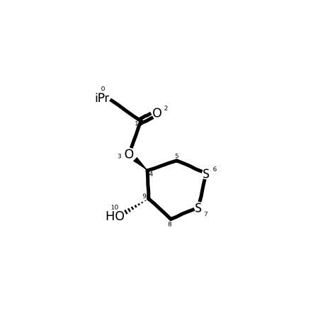 CC(C)C(=O)O[C@H]1CSSC[C@@H]1O